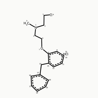 CN(CCCl)CCOc1ccccc1Cc1ccccc1.Cl